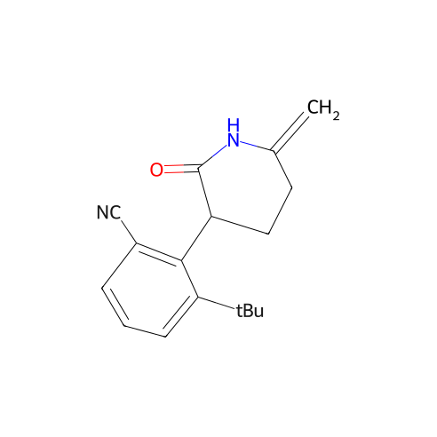 C=C1CCC(c2c(C#N)cccc2C(C)(C)C)C(=O)N1